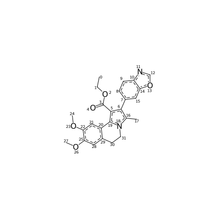 CCOC(=O)c1c(-c2ccc3ncoc3c2)c(C)n2c1-c1cc(OC)c(OC)cc1CC2